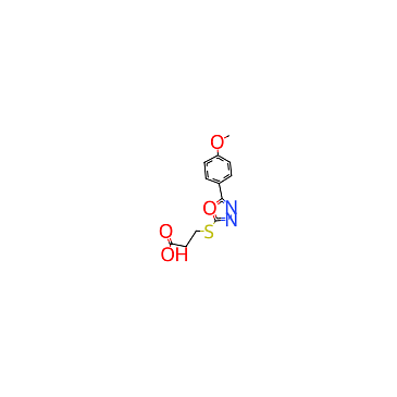 COc1ccc(-c2nnc(SCCC(=O)O)o2)cc1